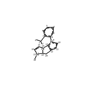 CC(C)c1ccccc1-n1ccc2c1N1C=CN(C)C1C2